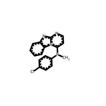 CN(c1ccc(Cl)cc1)c1ccnc2nc3ccccc3n12